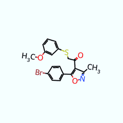 COc1cccc(SCC(=O)c2c(C)noc2-c2ccc(Br)cc2)c1